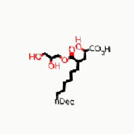 CCCCCCCCCCCCCCCCC(CC(O)C(=O)O)C(=O)OCC(O)CO